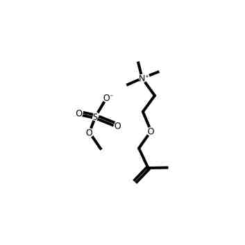 C=C(C)COCC[N+](C)(C)C.COS(=O)(=O)[O-]